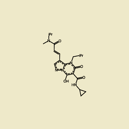 CC(C)Cn1c(=O)c(C(=O)NC2CC2)c(O)n2ncc(C=CC(=O)N(C)C(C)C)c12